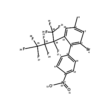 Cc1[c]c(Br)c(-c2ccc([N+](=O)[O-])cc2)c(C(F)(C(F)(F)F)C(F)(F)C(F)(F)F)c1